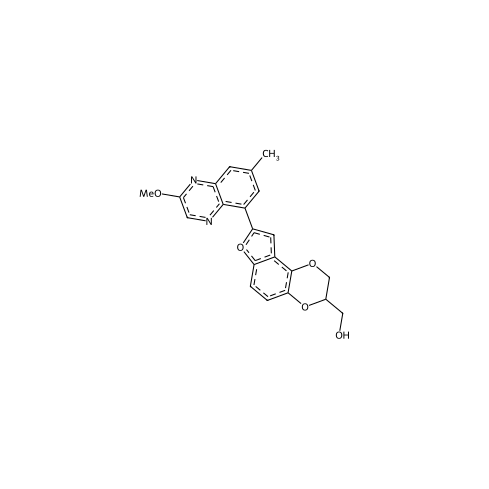 COc1cnc2c(-c3cc4c5c(ccc4o3)OC(CO)CO5)cc(C)cc2n1